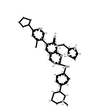 Cc1cc(C2CCCC2)ncc1-c1cc2cnc(Nc3ccc(C4CCCN(C)C4)cc3)nc2n(Cc2nccs2)c1=O